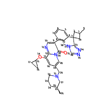 CC1CC(c2cccc(-c3cnc4c(OC5CC5)cc(CN5CCC[C@H](C)C5)cn4c3=O)c2)(c2nncn2C)C1